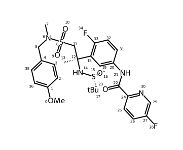 COc1ccc(CN(C)S(=O)(=O)C[C@](C)(N[S@+]([O-])C(C)(C)C)c2cc(NC(=O)c3ccc(F)cn3)ccc2F)cc1